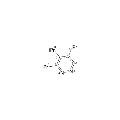 CC(C)c1cnnc(C(C)C)c1C(C)C